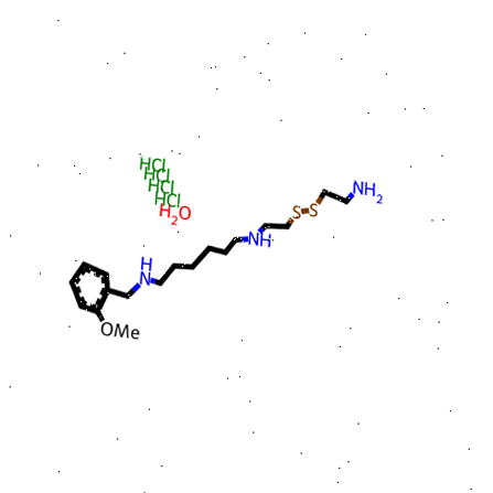 COc1ccccc1CNCCCCCCNCCSSCCN.Cl.Cl.Cl.Cl.O